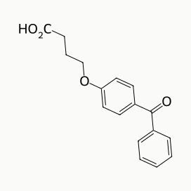 O=C(O)CCCOc1ccc(C(=O)c2ccccc2)cc1